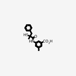 Cc1cc(NC(=O)C(C)(S)Cc2ccccc2)cc(C(=O)O)c1